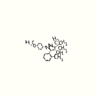 COc1ccc(-n2nc(C(C)(C)C)c(O)c2-c2ccccc2C)cc1